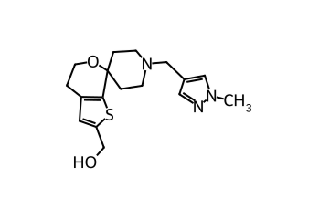 Cn1cc(CN2CCC3(CC2)OCCc2cc(CO)sc23)cn1